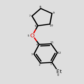 [CH2]Cc1ccc(OC2CCCC2)cc1